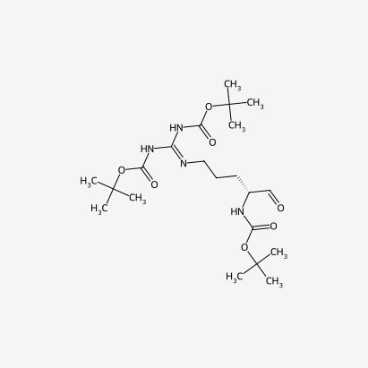 CC(C)(C)OC(=O)NC(=NCCC[C@H](C=O)NC(=O)OC(C)(C)C)NC(=O)OC(C)(C)C